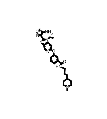 CCn1c(-c2nonc2N)nc2cnc(Oc3cccc(C(=O)NCCCC4CCN(C)CC4)c3)cc21